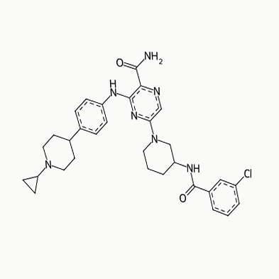 NC(=O)c1ncc(N2CCCC(NC(=O)c3cccc(Cl)c3)C2)nc1Nc1ccc(C2CCN(C3CC3)CC2)cc1